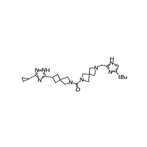 CC(C)(C)c1c[nH]c(CN2CC3(C2)CN(C(=O)N2CC4(CC(c5nc(C6CC6)n[nH]5)C4)C2)C3)n1